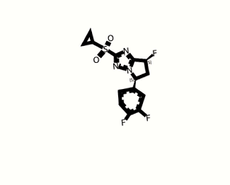 O=S(=O)(c1nc2n(n1)[C@H](c1ccc(F)c(F)c1)C[C@@H]2F)C1CC1